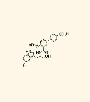 CCCOc1ccc(-c2ccc(C(=O)O)cc2)cc1C(=O)NC(CO)Cc1c[nH]c2ccc(F)cc12